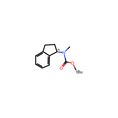 CN(C(=O)OC(C)(C)C)[C@@H]1CCc2ccccc21